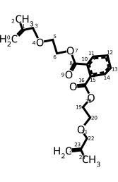 C=C(C)COCCOC(=O)c1ccccc1C(=O)OCCOCC(=C)C